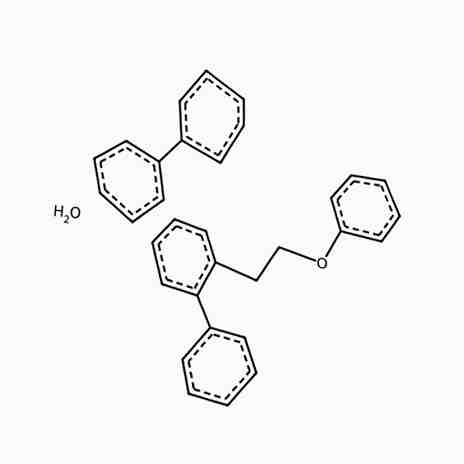 O.c1ccc(-c2ccccc2)cc1.c1ccc(OCCc2ccccc2-c2ccccc2)cc1